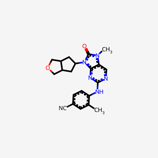 Cc1cc(C#N)ccc1Nc1ncc2c(n1)n(C1CC3COCC3C1)c(=O)n2C